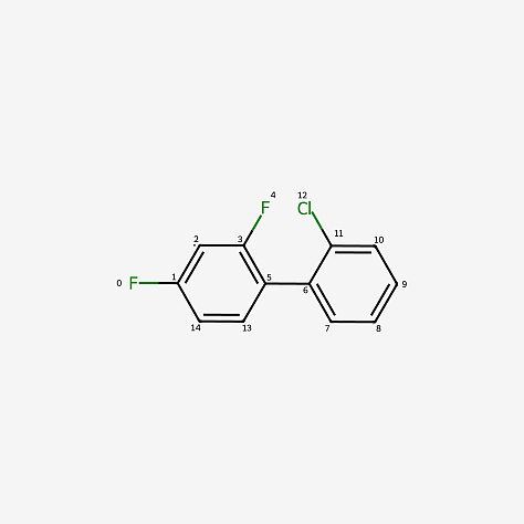 Fc1[c]c(F)c(-c2ccccc2Cl)cc1